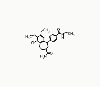 CCNC(=O)c1ccc(C2CN(C(N)=O)CCc3c2cc(CC)c(CC)c3Cl)cc1